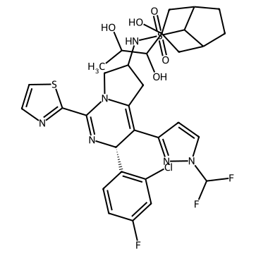 CC(O)C(O)C1(O)CC2CCC(C1)C2S(=O)(=O)NC1CC2=C(c3ccn(C(F)F)n3)[C@H](c3ccc(F)cc3Cl)N=C(c3nccs3)N2C1